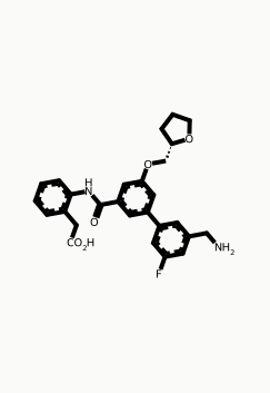 NCc1cc(F)cc(-c2cc(OC[C@@H]3CCCO3)cc(C(=O)Nc3ccccc3CC(=O)O)c2)c1